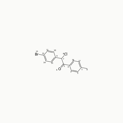 Cc1ccc(C(=O)C(Cl)c2ccc(Br)cc2)cc1